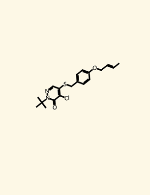 CC=CCOc1ccc(CSc2cnn(C(C)(C)C)c(=O)c2Cl)cc1